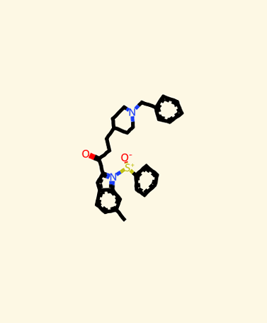 Cc1ccc2cc(C(=O)CCC3CCN(Cc4ccccc4)CC3)n([S+]([O-])c3ccccc3)c2c1